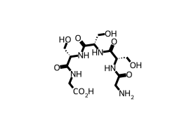 NCC(=O)N[C@@H](CO)C(=O)N[C@@H](CO)C(=O)N[C@@H](CO)C(=O)NCC(=O)O